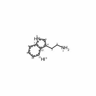 I.NCCc1c[nH]c2ccccc12